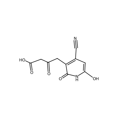 N#Cc1cc(O)[nH]c(=O)c1CC(=O)CC(=O)O